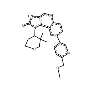 COCc1ccc(-c2ccc3ncc4[nH]c(=O)n(C5CCOCC5(C)C)c4c3c2)cn1